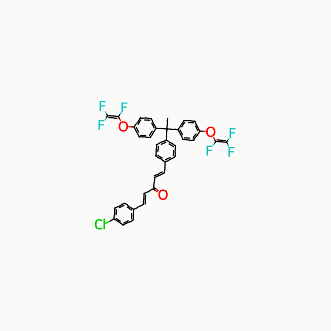 CC(c1ccc(/C=C/C(=O)/C=C/c2ccc(Cl)cc2)cc1)(c1ccc(OC(F)=C(F)F)cc1)c1ccc(OC(F)=C(F)F)cc1